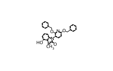 Cn1c(=O)n(-c2ccc(OCc3ccccc3)nc2OCc2ccccc2)c2cccc(O)c21